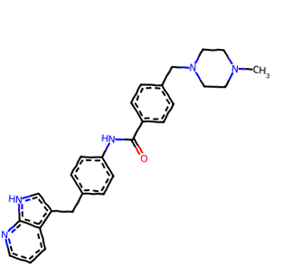 CN1CCN(Cc2ccc(C(=O)Nc3ccc(Cc4c[nH]c5ncccc45)cc3)cc2)CC1